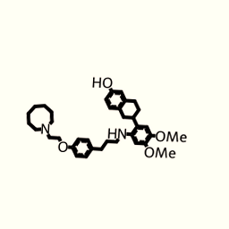 COc1cc(NCCCc2ccc(OCCN3CCCCCCC3)cc2)c(C2CCc3cc(O)ccc3C2)cc1OC